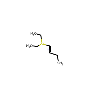 CC/C=C/[S+](CC)CC